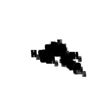 COc1nc(-c2ccc(F)c(-c3cccc(NC(=O)c4cn(C)c(=O)n(C)c4=O)c3C)c2Cl)cc2c1C(N1CCN(C(C)=O)CC1)CC2